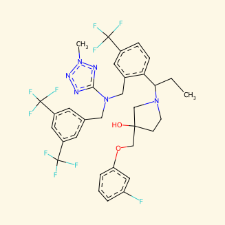 CCC(c1ccc(C(F)(F)F)cc1CN(Cc1cc(C(F)(F)F)cc(C(F)(F)F)c1)c1nnn(C)n1)N1CCC(O)(COc2cccc(F)c2)C1